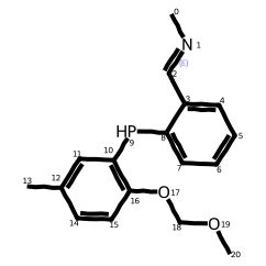 C/N=C/c1ccccc1Pc1cc(C)ccc1OCOC